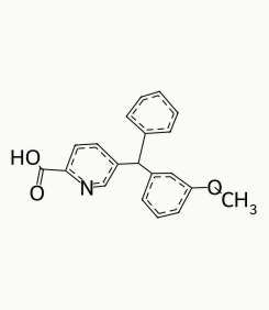 COc1cccc(C(c2ccccc2)c2ccc(C(=O)O)nc2)c1